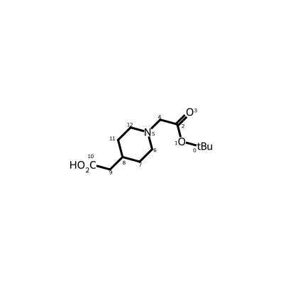 CC(C)(C)OC(=O)CN1CCC(CC(=O)O)CC1